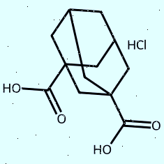 Cl.O=C(O)C12CC3CC(C1)CC(C(=O)O)(C3)C2